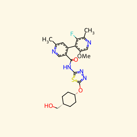 COc1cnc(C)c(F)c1-c1cc(C)ncc1C(=O)Nc1nnc(O[C@H]2CC[C@@H](CO)CC2)s1